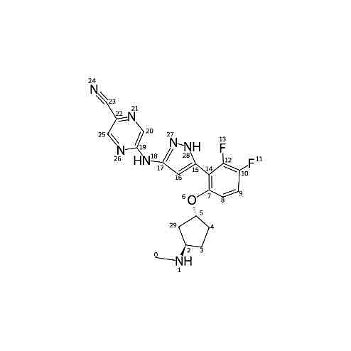 CN[C@@H]1CC[C@@H](Oc2ccc(F)c(F)c2-c2cc(Nc3cnc(C#N)cn3)n[nH]2)C1